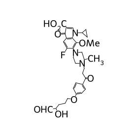 COc1c(N2CCN(CCC(=O)c3ccc(OCCCC(O)C=O)cc3)C(C)C2)c(F)cc2c(=O)c(C(=O)O)cn(C3CC3)c12